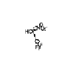 CC(C)(C)OC(=O)N1CC[C@H](C(O)C#Cc2ccc(C(F)(F)F)cc2)C1